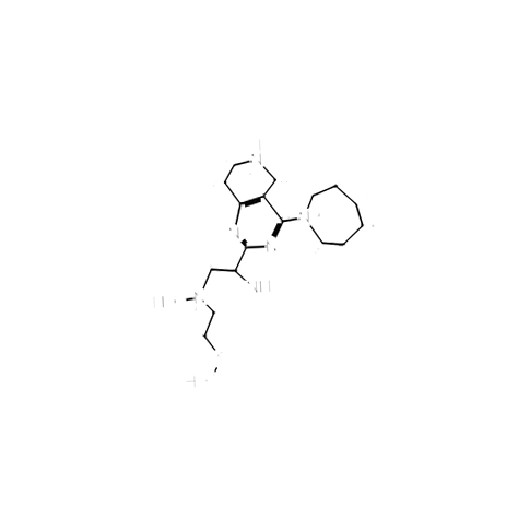 CSCCN(C)CC(N)c1nc2c(c(N3CCCCCC3)n1)CNCC2